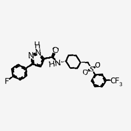 O=C(N[C@H]1CC[C@H](CS(=O)(=O)c2cccc(C(F)(F)F)c2)CC1)c1cc(-c2ccc(F)cc2)n[nH]1